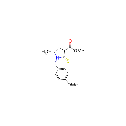 COC(=O)C1CC(C)N(Cc2ccc(OC)cc2)C1=S